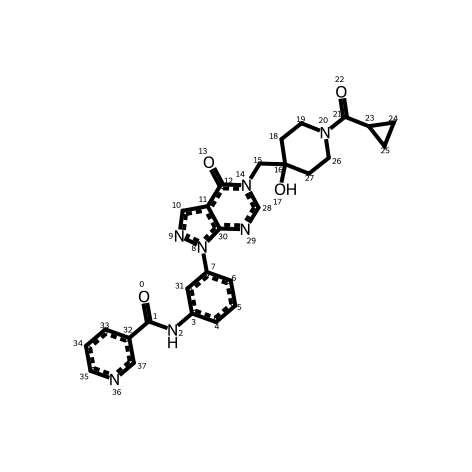 O=C(Nc1cccc(-n2ncc3c(=O)n(CC4(O)CCN(C(=O)C5CC5)CC4)cnc32)c1)c1cccnc1